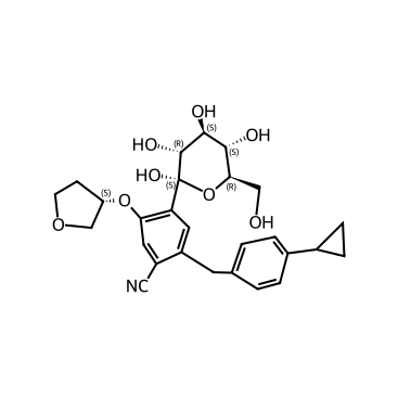 N#Cc1cc(O[C@H]2CCOC2)c([C@]2(O)O[C@H](CO)[C@@H](O)[C@H](O)[C@H]2O)cc1Cc1ccc(C2CC2)cc1